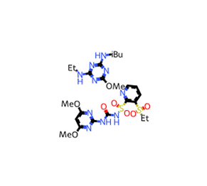 CCNc1nc(NC(C)CC)nc(OC)n1.CCS(=O)(=O)c1cccnc1S(=O)(=O)NC(=O)Nc1nc(OC)cc(OC)n1